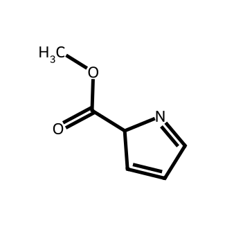 COC(=O)C1C=CC=N1